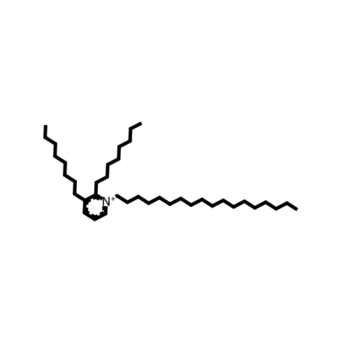 CCCCCCCCCCCCCCCCCC[n+]1cccc(CCCCCCCC)c1CCCCCCCC